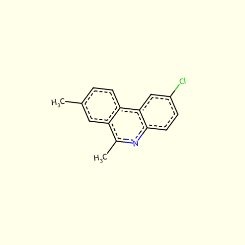 Cc1ccc2c(c1)c(C)nc1ccc(Cl)cc12